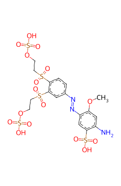 COc1cc(N)c(S(=O)(=O)O)cc1N=Nc1ccc(S(=O)(=O)CCOS(=O)(=O)O)c(S(=O)(=O)CCOS(=O)(=O)O)c1